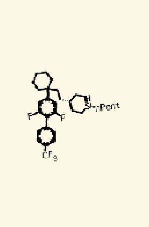 CCCCC[Si@H]1CC[C@H](CCC2(c3cc(F)c(-c4ccc(C(F)(F)F)cc4)c(F)c3)CCCCC2)CC1